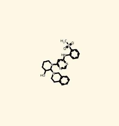 CS(=O)(=O)c1ccccc1Nc1cc(N2CCCC(O)C2N2CCc3ccccc3C2)ncn1